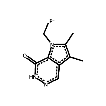 Cc1c(C)n(CC(C)C)c2c(=O)[nH]ncc12